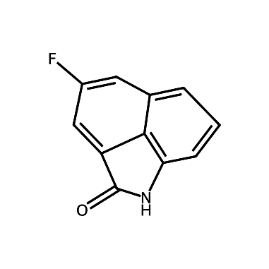 O=C1Nc2cccc3cc(F)cc1c23